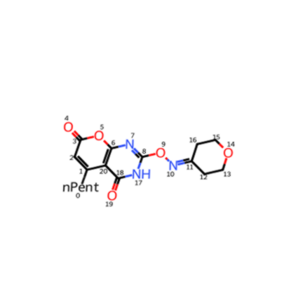 CCCCCc1cc(=O)oc2nc(ON=C3CCOCC3)[nH]c(=O)c12